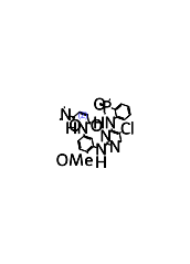 COc1ccc(NC(=O)/C=C\C(=O)N(C)C)cc1Nc1ncc(Cl)c(Nc2ccccc2P(C)(C)=O)n1